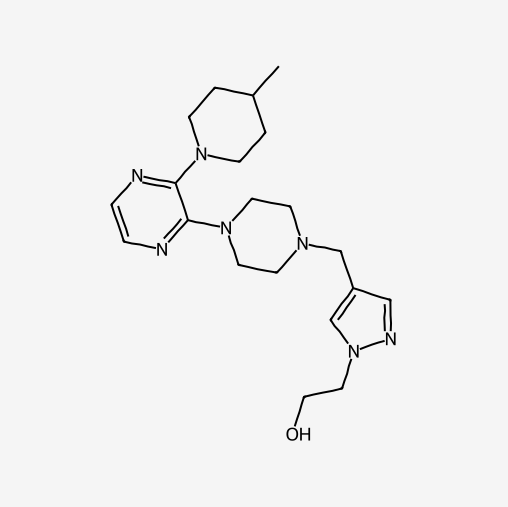 CC1CCN(c2nccnc2N2CCN(Cc3cnn(CCO)c3)CC2)CC1